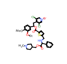 CCOc1cc(C(Cc2c(Cl)c[n+]([O-])cc2Cl)OC(=O)c2ccc(CNC(C(=O)OCC3CCN(C)CC3)c3ccccc3)s2)ccc1OC